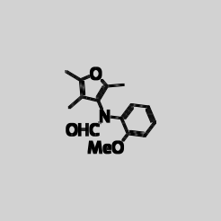 COc1ccccc1N(C=O)c1c(C)oc(C)c1C